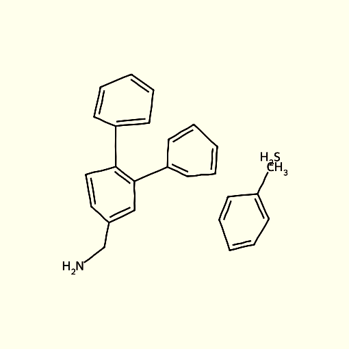 Cc1ccccc1.NCc1ccc(-c2ccccc2)c(-c2ccccc2)c1.S